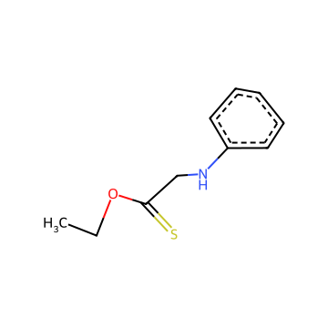 CCOC(=S)CNc1ccccc1